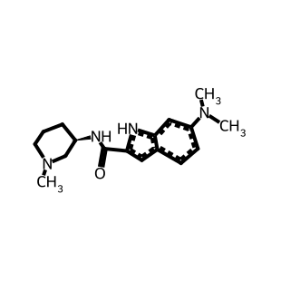 CN1CCC[C@@H](NC(=O)c2cc3ccc(N(C)C)cc3[nH]2)C1